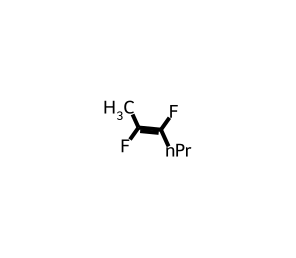 CCC/C(F)=C(/C)F